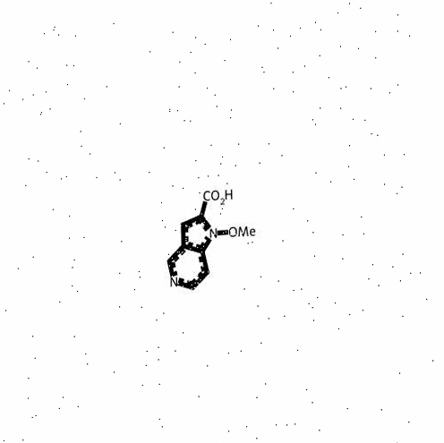 COn1c(C(=O)O)cc2cnccc21